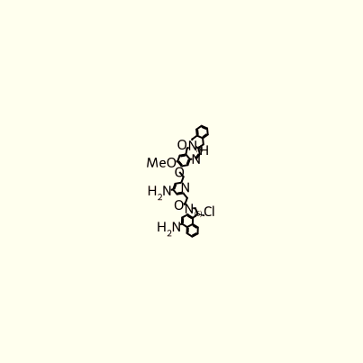 COc1cc2c(cc1OCc1cc(N)cc(CC(=O)N3C[C@@H](CCl)c4c3cc(N)c3ccccc43)n1)N=C[C@@H]1Cc3ccccc3CN1C2=O